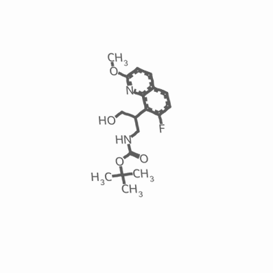 COc1ccc2ccc(F)c(C(CO)CNC(=O)OC(C)(C)C)c2n1